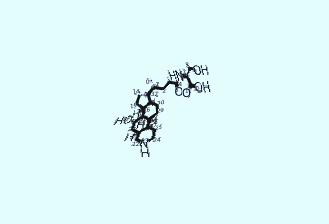 C[C@H](CCC(=O)N[C@@H](CO)C(=O)O)[C@H]1CC[C@H]2[C@@H]3[C@@H](O)C[C@@H]4CNCC[C@]4(C)[C@H]3CC[C@]12C